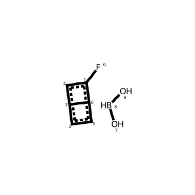 Fc1cc2ccc1-2.OBO